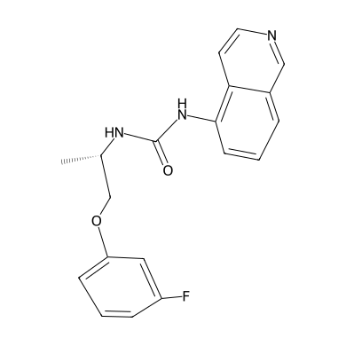 C[C@@H](COc1cccc(F)c1)NC(=O)Nc1cccc2cnccc12